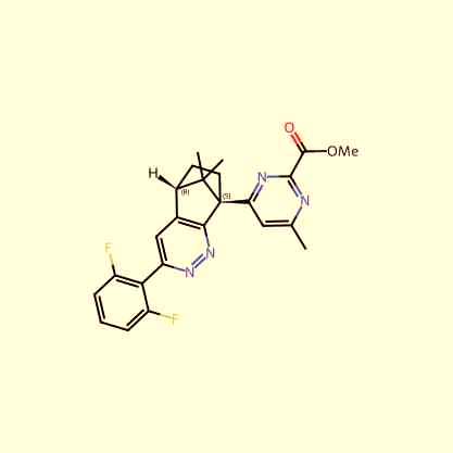 COC(=O)c1nc(C)cc([C@@]23CC[C@@H](c4cc(-c5c(F)cccc5F)nnc42)C3(C)C)n1